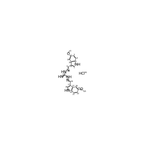 COc1ccc2[nH]cc(C=NNC(=N)NN=Cc3c[nH]c4ccc(OC)cc34)c2c1.Cl